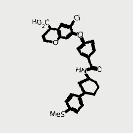 CSc1ccc(C2CCCC(NC(=O)c3ccc(Oc4cc5c(cc4Cl)C(C(=O)O)CCO5)cc3)C2)cc1